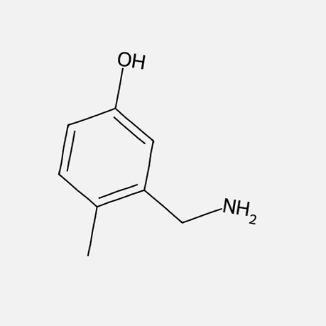 Cc1ccc(O)cc1CN